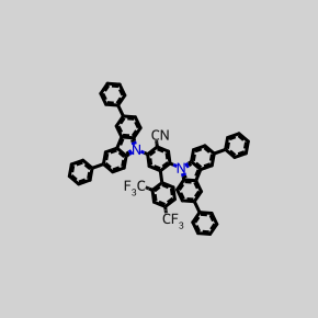 N#Cc1cc(-n2c3ccc(-c4ccccc4)cc3c3cc(-c4ccccc4)ccc32)c(-c2ccc(C(F)(F)F)cc2C(F)(F)F)cc1-n1c2ccc(-c3ccccc3)cc2c2cc(-c3ccccc3)ccc21